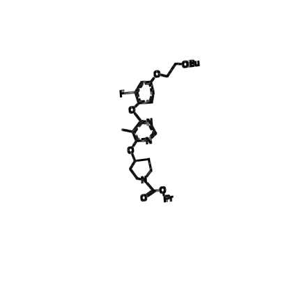 Cc1c(Oc2ccc(OCCOCC(C)C)cc2F)ncnc1OC1CCN(C(=O)OC(C)C)CC1